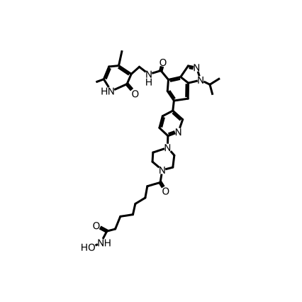 Cc1cc(C)c(CNC(=O)c2cc(-c3ccc(N4CCN(C(=O)CCCCCCC(=O)NO)CC4)nc3)cc3c2cnn3C(C)C)c(=O)[nH]1